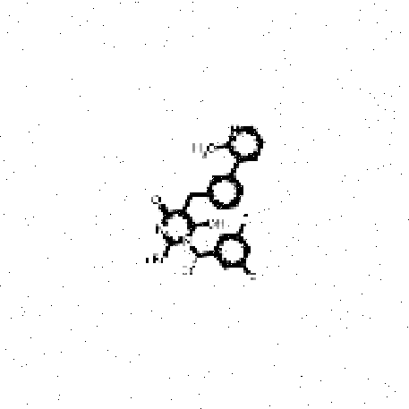 CCCCc1nc(=O)c(Cc2cccc(-c3cccnc3C)c2)c(O)n1[C@@H](CC)c1cc(F)cc(F)c1